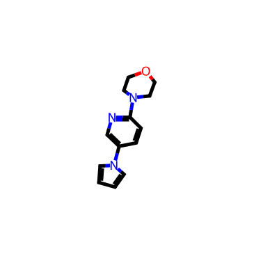 c1ccn(-c2ccc(N3CCOCC3)nc2)c1